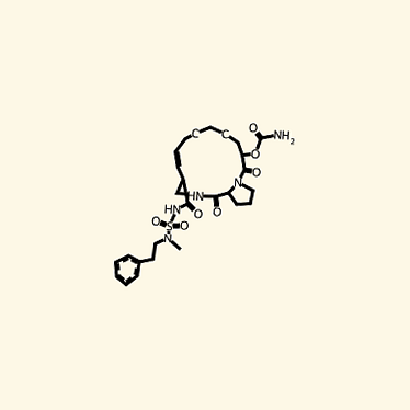 CN(CCc1ccccc1)S(=O)(=O)NC(=O)C12CC1C=CCCCCCC(OC(N)=O)C(=O)N1CCCC1C(=O)N2